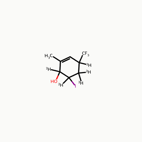 [2H]C1(O)C(C)=CC([2H])(C(F)(F)F)C([2H])([2H])C1([2H])I